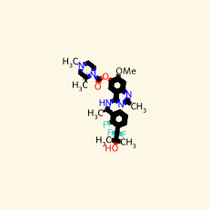 COc1cc2nc(C)nc(N[C@H](C)c3cccc(C(F)(F)C(C)(C)O)c3F)c2cc1OC(=O)N1CCN(C)C[C@@H]1C